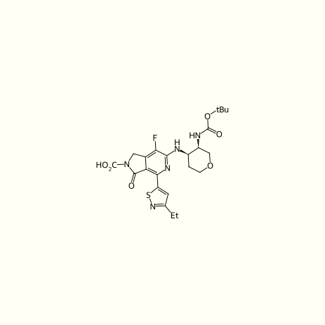 CCc1cc(-c2nc(N[C@@H]3CCOC[C@@H]3NC(=O)OC(C)(C)C)c(F)c3c2C(=O)N(C(=O)O)C3)sn1